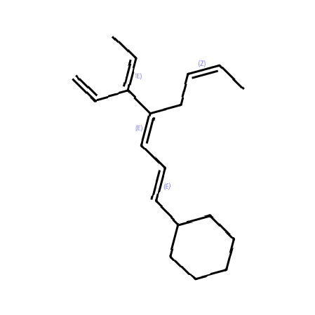 C=CC(=C\C)/C(=C/C=C/C1CCCCC1)C/C=C\C